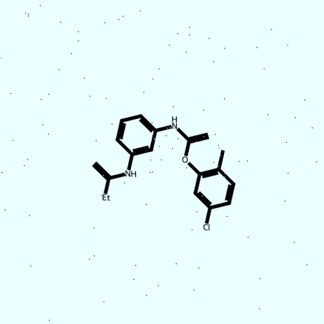 C=C(CC)Nc1cccc(NC(=C)Oc2cc(Cl)ccc2C)c1